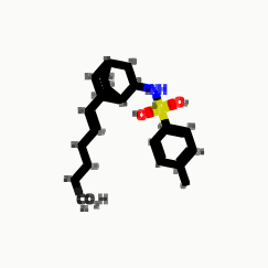 Cc1ccc(S(=O)(=O)NC2CC3CCC2C(C=CCCCC(=O)O)C3)cc1